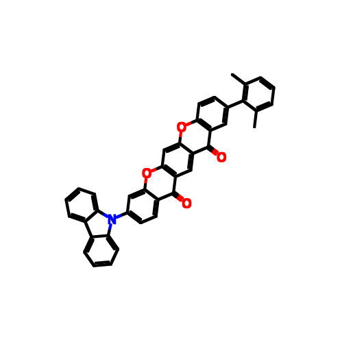 Cc1cccc(C)c1-c1ccc2oc3cc4oc5cc(-n6c7ccccc7c7ccccc76)ccc5c(=O)c4cc3c(=O)c2c1